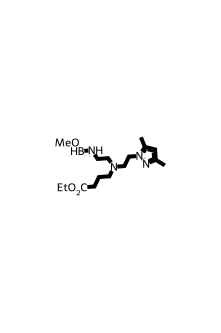 CCOC(=O)CCCN(CCNBOC)CCn1nc(C)cc1C